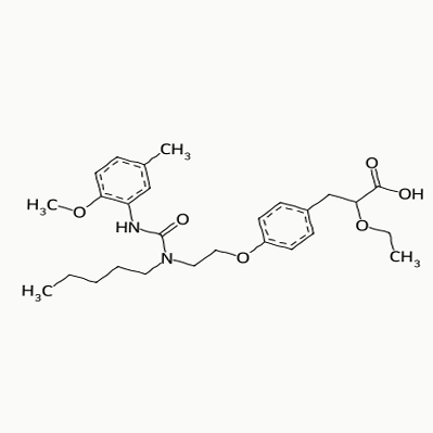 CCCCCN(CCOc1ccc(CC(OCC)C(=O)O)cc1)C(=O)Nc1cc(C)ccc1OC